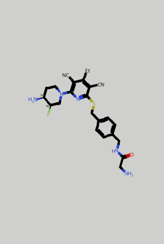 CCc1c(C#N)c(SCc2ccc(CNC(=O)CN)cc2)nc(N2CC[C@H](N)[C@H](F)C2)c1C#N